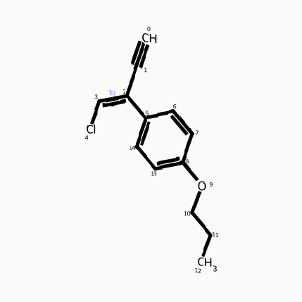 C#C/C(=C/Cl)c1ccc(OCCC)cc1